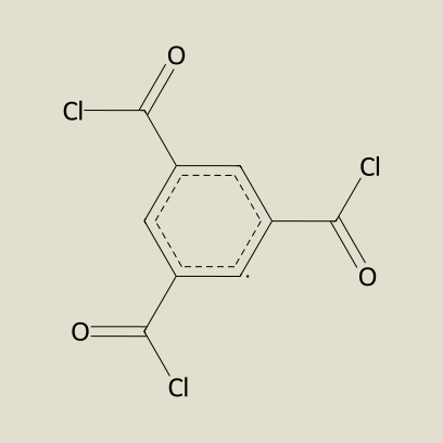 O=C(Cl)c1[c]c(C(=O)Cl)cc(C(=O)Cl)c1